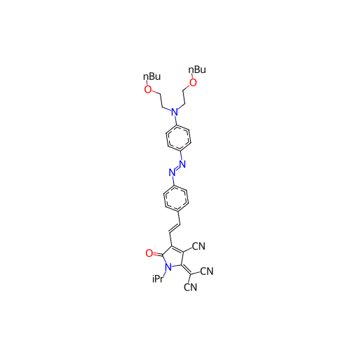 CCCCOCCN(CCOCCCC)c1ccc(/N=N/c2ccc(/C=C/C3=C(C#N)C(=C(C#N)C#N)N(C(C)C)C3=O)cc2)cc1